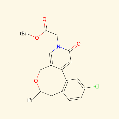 CC(C)C1Cc2ccc(Cl)cc2-c2cc(=O)n(CC(=O)OC(C)(C)C)cc2CO1